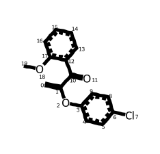 C=C(Oc1ccc(Cl)cc1)C(=O)c1ccccc1OC